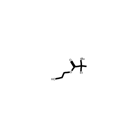 CCC(C)(C(=O)OCCO)C(C)(C)C